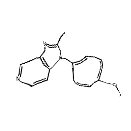 Cc1nc2cnccc2n1-c1ccc(OI)cc1